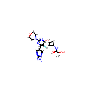 CC(C)[C@@H](O)C(=O)N[C@H]1C[C@H](Oc2nc(N3CCOCC3)nc(-c3cnc(N)nc3)c2F)C1